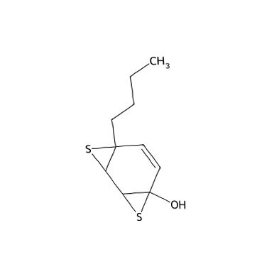 CCCCC12C=CC3(O)SC3C1S2